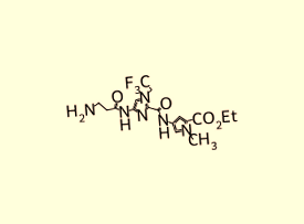 CCOC(=O)c1cc(NC(=O)c2nc(NC(=O)CCN)cn2CC(F)(F)F)cn1C